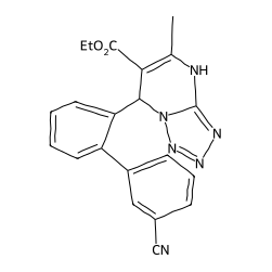 CCOC(=O)C1=C(C)Nc2nnnn2C1c1ccccc1-c1cccc(C#N)c1